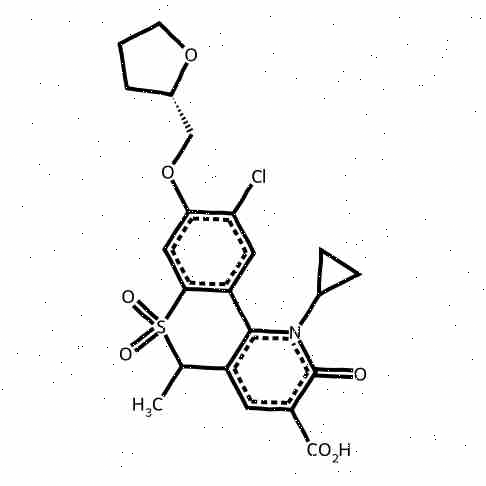 CC1c2cc(C(=O)O)c(=O)n(C3CC3)c2-c2cc(Cl)c(OC[C@@H]3CCCO3)cc2S1(=O)=O